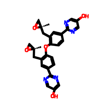 C[C@@]1(Cc2cc(-c3ncc(O)cn3)ccc2Oc2ccc(-c3ncc(O)cn3)cc2C[C@]2(C)CO2)CO1